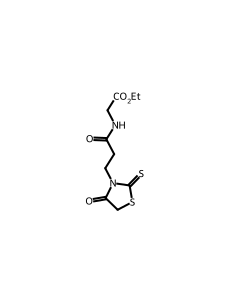 CCOC(=O)CNC(=O)CCN1C(=O)CSC1=S